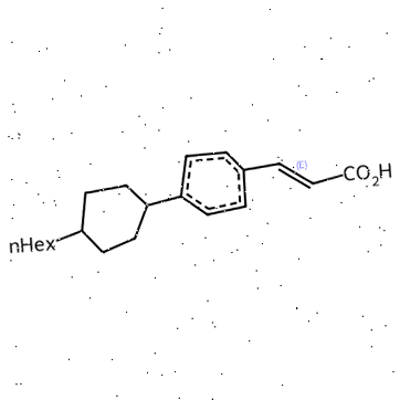 CCCCCCC1CCC(c2ccc(/C=C/C(=O)O)cc2)CC1